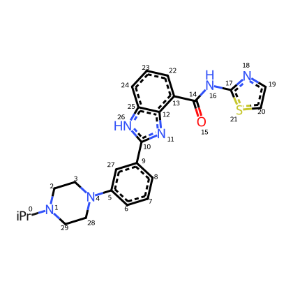 CC(C)N1CCN(c2cccc(-c3nc4c(C(=O)Nc5nccs5)cccc4[nH]3)c2)CC1